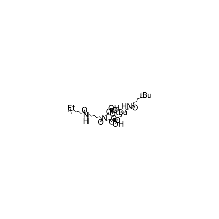 CCC(C)(C)CCCCC(=O)NCCCCCC(=O)N(CCOP(=O)(O)OCCCCCCNC(=O)CCCCC(C)(C)C)CCOP(=O)(O)OC(C)(C)C